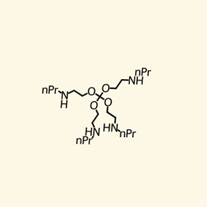 CCCNCCOC(OCCNCCC)(OCCNCCC)OCCNCCC